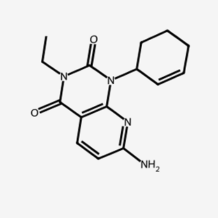 CCn1c(=O)c2ccc(N)nc2n(C2C=CCCC2)c1=O